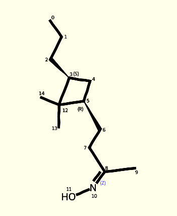 CCC[C@H]1C[C@@H](CC/C(C)=N\O)C1(C)C